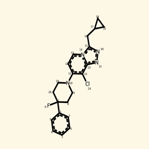 FC1(c2ccccc2)CCN(c2ccn3c(CC4CC4)nnc3c2Cl)CC1